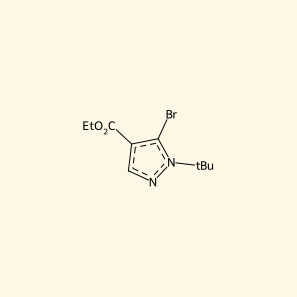 CCOC(=O)c1cnn(C(C)(C)C)c1Br